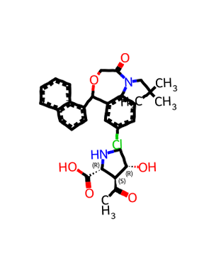 CC(=O)[C@@H]1[C@@H](O)CN[C@H]1C(=O)O.CC(C)(C)CN1C(=O)COC(c2cccc3ccccc23)c2cc(Cl)ccc21